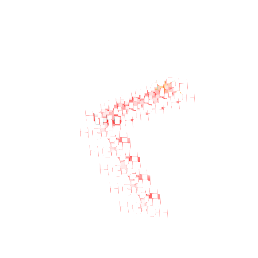 Cl.OB(O)O.OB(O)O.OB(O)O.OB(O)O.OB(O)O.OB(O)O.OB(O)O.OB(O)O.OB(O)O.OB(O)O.[LiH]